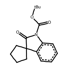 CC(C)(C)OC(=O)N1C(=O)C2(CCCC2)c2ccccc21